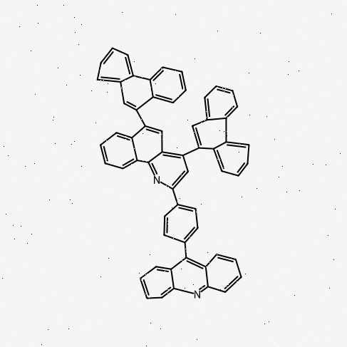 c1ccc2c(c1)cc(-c1cc3c(-c4cc5ccccc5c5ccccc45)cc(-c4ccc(-c5c6ccccc6nc6ccccc56)cc4)nc3c3ccccc13)c1ccccc12